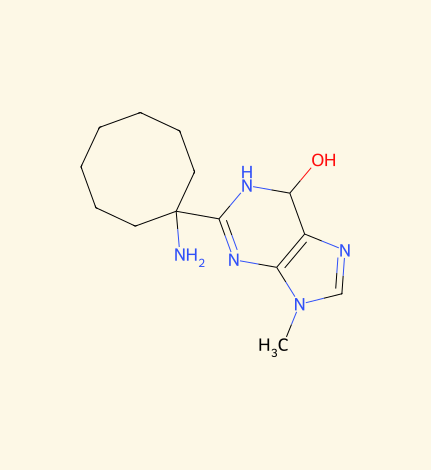 Cn1cnc2c1N=C(C1(N)CCCCCCC1)NC2O